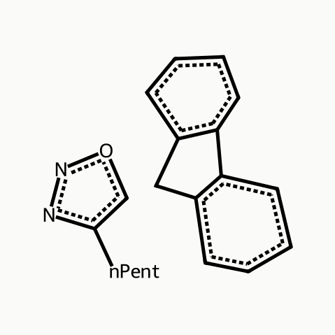 CCCCCc1conn1.c1ccc2c(c1)Cc1ccccc1-2